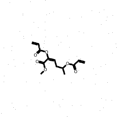 C=CC(=O)OC(=CCC(C)OC(=O)C=C)C(=O)OC